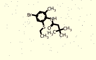 CCSc1cc(Br)cc(C)c1NC(=O)CC(C)(C)C